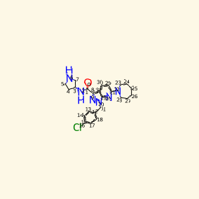 O=C(N[C@H]1CCNC1)c1nn(Cc2ccc(Cl)cc2)c2nc(N3CCCCCC3)ccc12